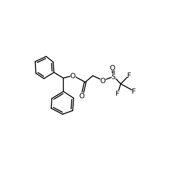 O=C(COS(=O)C(F)(F)F)OC(c1ccccc1)c1ccccc1